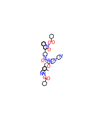 Cc1cc(C[C@@H](NC(=O)N2CCC(c3cc4ccccc4n(COC(=O)C4CCCCC4)c3=O)CC2)C(=O)N2CCN(C3CCN(C)CC3)CC2)cc2cnn(COC(=O)C3CCCCC3)c12